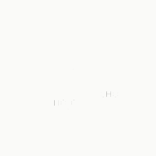 O=CC(=CC1C#CCCC1)C(=O)O